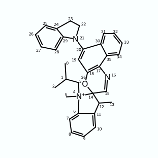 CC(C)C[N+]1(C)c2ccccc2C(C)C12C=Nc1c(cc(N3CCc4ccccc43)c3ccccc13)O2